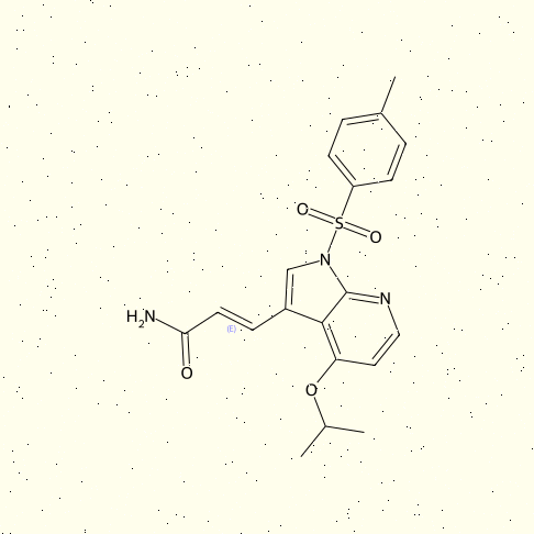 Cc1ccc(S(=O)(=O)n2cc(/C=C/C(N)=O)c3c(OC(C)C)ccnc32)cc1